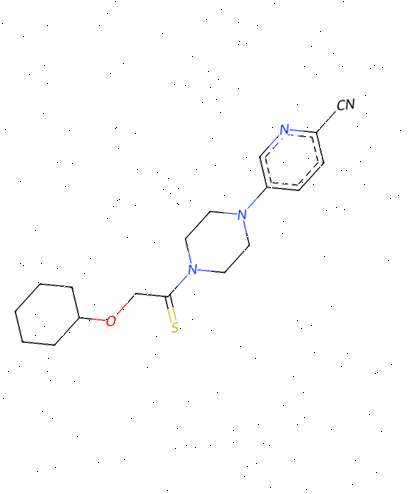 N#Cc1ccc(N2CCN(C(=S)COC3CCCCC3)CC2)cn1